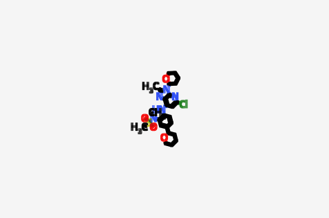 Cc1nc2c(Nc3ccc(C4CCCCO4)cc3N(C)S(C)(=O)=O)cc(Cl)nc2n1C1CCCCO1